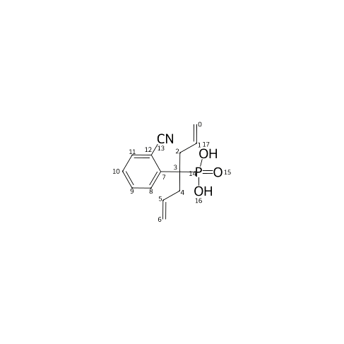 C=CCC(CC=C)(c1ccccc1C#N)P(=O)(O)O